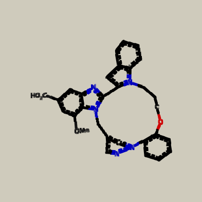 COc1cc(C(=O)O)cc2nc3n(c12)Cc1cnn(c1)-c1ccccc1OCCCn1c-3cc2ccccc21